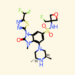 C[C@@H]1CN(c2cc(S(=O)(=O)NC3(CF)COC3)cc3c2n(C)c(=O)n3-c2nnc(C(F)F)s2)C[C@@H](C)N1